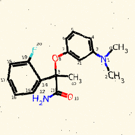 CN(C)c1cccc(OC(C)(C(N)=O)c2ccccc2F)c1